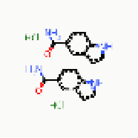 Cl.Cl.NC(=O)c1ccc2[nH]ccc2c1.NC(=O)c1ccc2[nH]ccc2c1